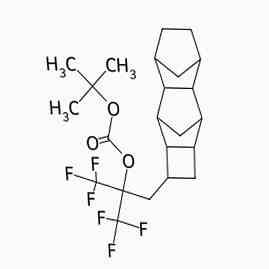 CC(C)(C)OC(=O)OC(CC1CC2C3CC(C12)C1C2CCC(C2)C31)(C(F)(F)F)C(F)(F)F